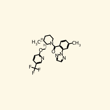 Cc1ccc(C(=O)N2CCC[C@@H](C)[C@H]2COc2ccc(C(F)(F)F)cn2)c(-n2nccn2)c1